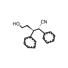 N#C[C@H](c1ccccc1)[C@H](CCO)c1ccccc1